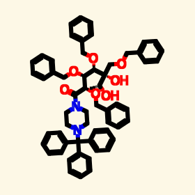 C[C@@H](O)[C@](O)(COCc1ccccc1)[C@@H](OCc1ccccc1)[C@H](OCc1ccccc1)[C@@H](OCc1ccccc1)C(=O)N1CCN(C(c2ccccc2)(c2ccccc2)c2ccccc2)CC1